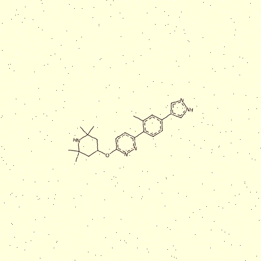 Cc1cc(-c2cn[nH]c2)ccc1-c1ccc(OC2CC(C)(C)NC(C)(C)C2)nn1